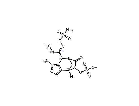 CN/C(=N\OS(N)(=O)=O)[C@@H]1c2c(cnn2C)[C@@H]2CN1C(=O)N2OS(=O)(=O)O